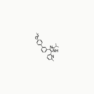 CSOc1ccc(-c2cccc(-c3nc(C(C)C)[nH]c3-c3cccc(C)n3)c2)cc1